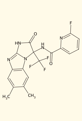 Cc1cc2nc3n(c2cc1C)C(NC(=O)c1cccc(F)n1)(C(F)(F)F)C(=O)N3